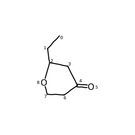 CCC1CC(=O)CCO1